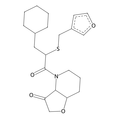 O=C1COC2CCCN(C(=O)C(CC3CCCCC3)SCc3ccoc3)C12